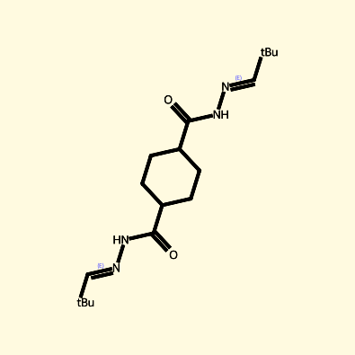 CC(C)(C)/C=N/NC(=O)C1CCC(C(=O)N/N=C/C(C)(C)C)CC1